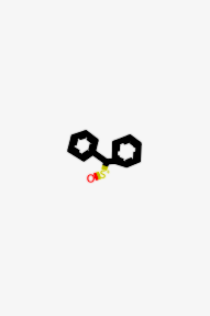 O=[S+]C(c1ccccc1)c1ccccc1